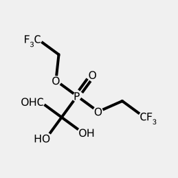 O=CC(O)(O)P(=O)(OCC(F)(F)F)OCC(F)(F)F